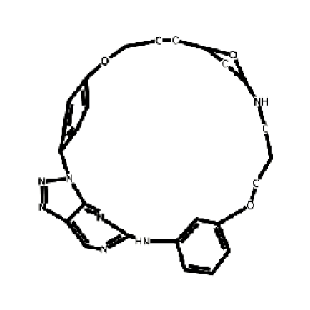 c1cc2cc(c1)OCCCNC1CC(CCCOc3ccc(cc3)-n3nnc4cnc(nc43)N2)O1